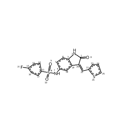 O=C1Nc2ccc(NS(=O)(=O)c3ccc(F)cc3)cc2C1=Cc1cccs1